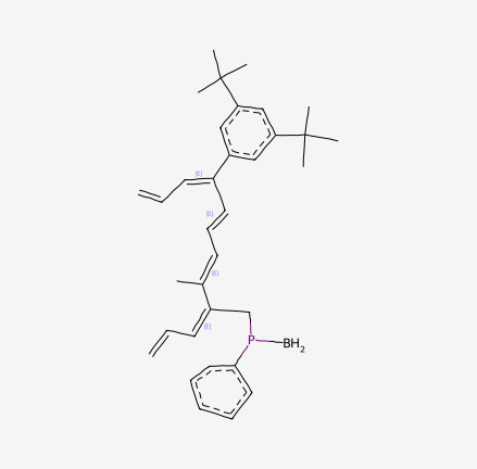 BP(CC(=C/C=C)/C(C)=C/C=C/C(=C\C=C)c1cc(C(C)(C)C)cc(C(C)(C)C)c1)c1ccccc1